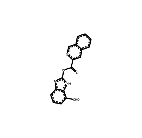 O=Cc1cccc2nc(NC(=O)c3cc4ccccc4cn3)[nH]c12